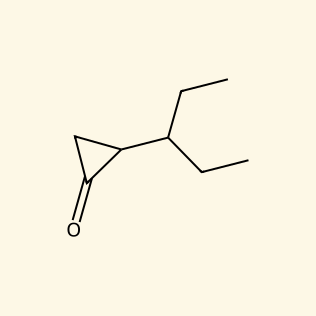 CCC(CC)C1CC1=O